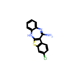 NC1=Nc2ccccc2Nc2sc3cc(Cl)ccc3c21